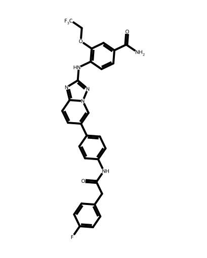 NC(=O)c1ccc(Nc2nc3ccc(-c4ccc(NC(=O)Cc5ccc(F)cc5)cc4)cn3n2)c(OCC(F)(F)F)c1